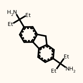 CCC(N)(CC)c1ccc2c(c1)Cc1cc(C(N)(CC)CC)ccc1-2